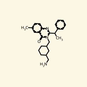 Cc1ccc2nc(C(C)c3ccccc3)n(CC3CCCC(CN)C3)c(=O)c2c1